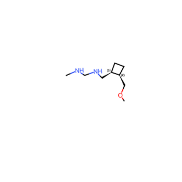 CNCNC[C@H]1CC[C@H]1COC